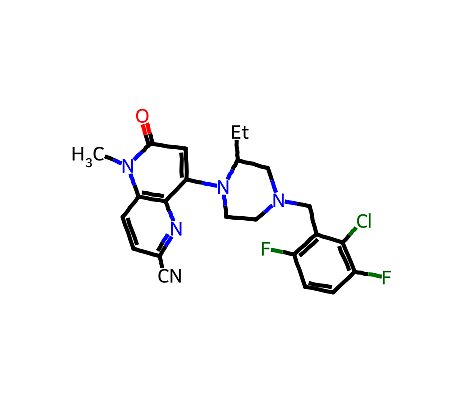 CCC1CN(Cc2c(F)ccc(F)c2Cl)CCN1c1cc(=O)n(C)c2ccc(C#N)nc12